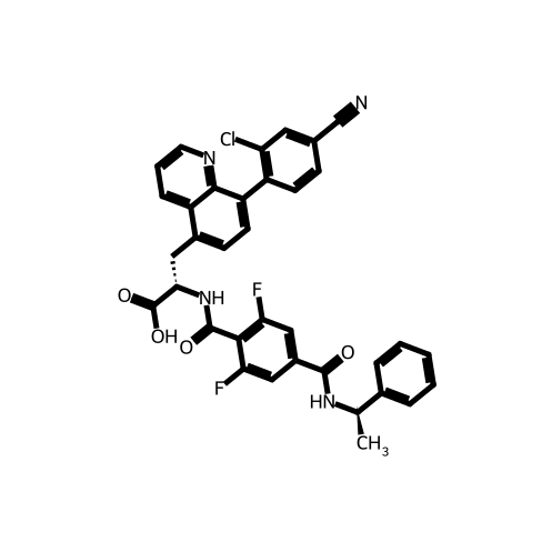 C[C@@H](NC(=O)c1cc(F)c(C(=O)N[C@@H](Cc2ccc(-c3ccc(C#N)cc3Cl)c3ncccc23)C(=O)O)c(F)c1)c1ccccc1